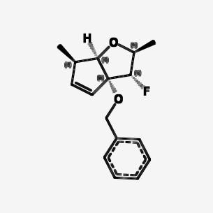 C[C@@H]1C=C[C@@]2(OCc3ccccc3)[C@@H]1O[C@@H](C)[C@@H]2F